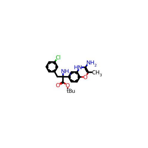 CC1=C(N)Nc2cc(C(N)(Cc3cccc(Cl)c3)C(=O)OC(C)(C)C)ccc2O1